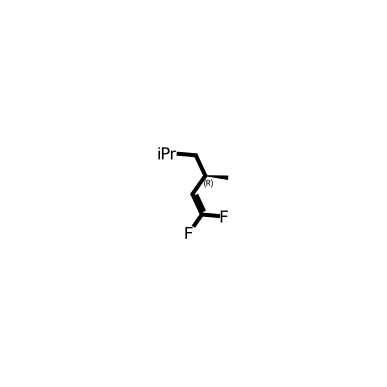 CC(C)C[C@@H](C)C=C(F)F